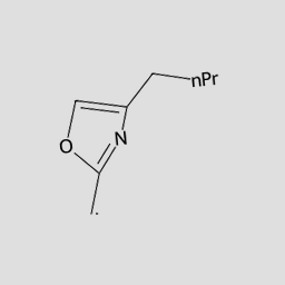 [CH2]c1nc(CCCC)co1